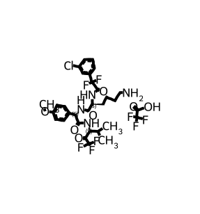 COc1ccc([C@H](NC(=O)[C@H](CCCCN)NC(=O)C(F)(F)c2cccc(Cl)c2)C(=O)N[C@H](C(=O)C(F)(F)F)C(C)C)cc1.O=C(O)C(F)(F)F